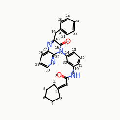 O=C(C=C1CCCCC1)Nc1cccc(-n2c(=O)c(Cc3ccccc3)nc3cccnc32)c1